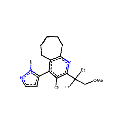 CCC(CC)(COC)c1nc2c(c(-c3ccnn3C)c1C#N)CCCCC2